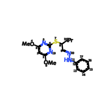 COc1cc(OC)nc(SC(C=NNc2ccccc2)C(C)C)n1